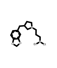 CCN(CC)CCCN1CCC(Cc2ccc3c(c2)OCO3)C1